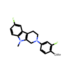 COc1ccc(N2CCc3c(n(C)c4ccc(F)cc34)C2)cc1F